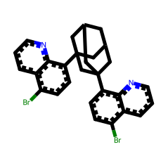 Brc1ccc(C23CC4CC(C2)CC(c2ccc(Br)c5cccnc25)(C4)C3)c2ncccc12